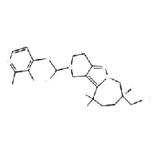 OC[C@]1(F)CCC(F)(F)c2c3c(nn2C1)CCN(C(O)Nc1ccnc(Br)c1F)C3